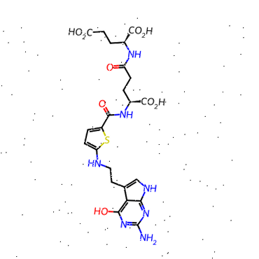 Nc1nc(O)c2c(CCNc3ccc(C(=O)N[C@@H](CCC(=O)N[C@@H](CCC(=O)O)C(=O)O)C(=O)O)s3)c[nH]c2n1